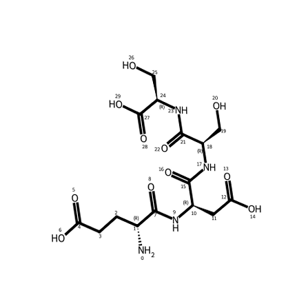 N[C@H](CCC(=O)O)C(=O)N[C@H](CC(=O)O)C(=O)N[C@H](CO)C(=O)N[C@H](CO)C(=O)O